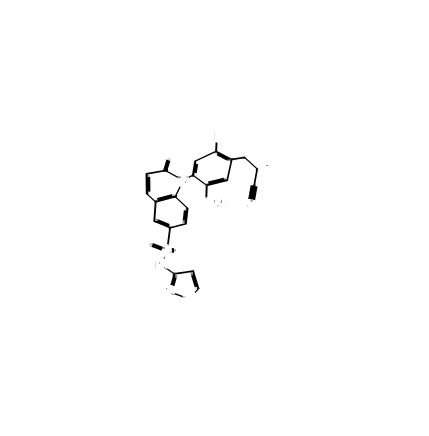 C#C[C@H](Cc1cc(OC)c(-n2c(=O)ccc3cc(S(=O)(=O)Nc4ccon4)ccc32)cc1F)C(F)(F)F